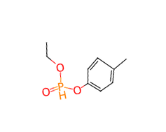 CCO[PH](=O)Oc1ccc(C)cc1